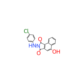 O=C1c2cc(O)c3ccccc3c2C(=O)N1Nc1ccc(Cl)cc1